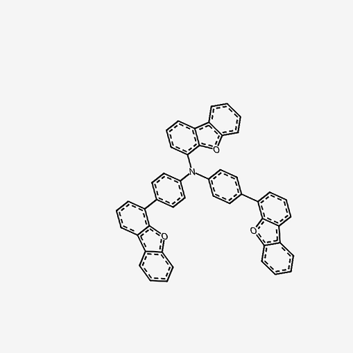 c1ccc2c(c1)oc1c(-c3ccc(N(c4ccc(-c5cccc6c5oc5ccccc56)cc4)c4cccc5c4oc4ccccc45)cc3)cccc12